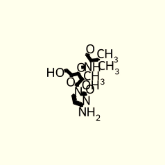 CC(C)[C@@H](C=O)NOC1C(CO)OC(n2ccc(N)nc2=O)C1(C)O